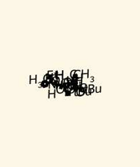 CCN(C)C(=O)[C@@H](NC(=O)CNC(=O)C(=O)C(CC1CCC1)NC(=O)[C@@H]1[C@H]2CC(C)(C)C[C@H]2CN1C(=O)[C@@H](NC(=O)OC(C)(C)C)C(C)(C)C)c1ccccc1